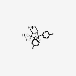 CC(C)(O)C1CNCCN1C(c1ccc(F)cc1)c1ccc(F)cc1